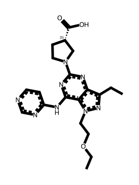 CCOCCn1nc(CC)c2nc(N3CC[C@H](C(=O)O)C3)nc(Nc3ccncn3)c21